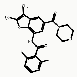 Cc1oc2c(NC(=O)c3c(Cl)cccc3Cl)cc(C(=O)N3CCOCC3)cc2c1C